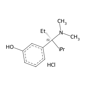 CC[C@@](c1cccc(O)c1)(C(C)C)N(C)C.Cl